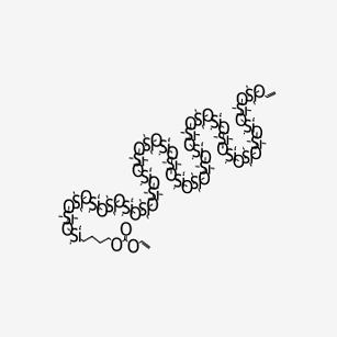 C=COC(=O)OCCCC[Si](C)(C)O[Si](C)(C)O[Si](C)(C)O[Si](C)(C)O[Si](C)(C)O[Si](C)(C)O[Si](C)(C)O[Si](C)(C)O[Si](C)(C)O[Si](C)(C)O[Si](C)(C)O[Si](C)(C)O[Si](C)(C)O[Si](C)(C)O[Si](C)(C)O[Si](C)(C)O[Si](C)(C)O[Si](C)(C)O[Si](C)(C)O[Si](C)(C)O[Si](C)(C)O[Si](C)(C)O[Si](C)(C)O[Si](C)(C)O[Si](C)(C)O[Si](C)(C)O[Si](C)(C)OC=C